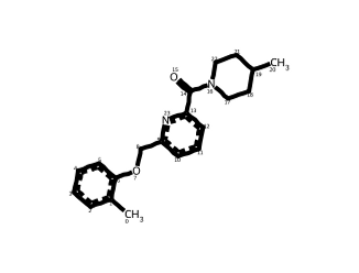 Cc1ccccc1OCc1cccc(C(=O)N2CCC(C)CC2)n1